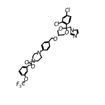 O=S(=O)(c1cccc(OC(F)(F)F)c1)N1CCN(c2ccc(CO[C@H]3CO[C@@](Cn4ccnc4)(c4ccc(Cl)cc4Cl)OC3)cc2)CC1